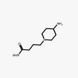 CNC(=O)CCCN1CCC(N)CC1